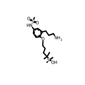 CC(C)(CCCOc1ccc(NS(C)(=O)=O)cc1CCCN)[Si](C)(C)O